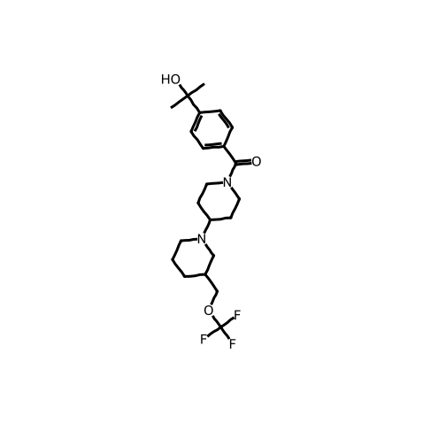 CC(C)(O)c1ccc(C(=O)N2CCC(N3CCCC(COC(F)(F)F)C3)CC2)cc1